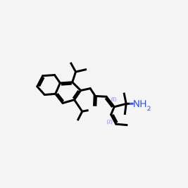 C=C(/C=C(\C=C/C)C(C)(C)N)Cc1c(C(C)C)cc2c(c1C(C)C)CC=CC2